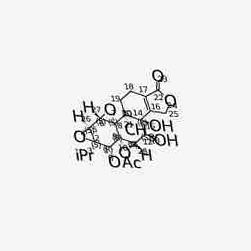 CC(=O)O[C@@H]1[C@@]2(C(C)C)O[C@H]2[C@@H]2O[C@]23[C@]12O[C@H]2[C@H](O)[C@@]1(O)C2=C(CC[C@]31C)C(=O)OC2